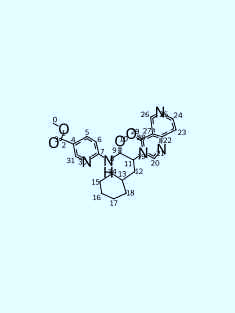 COC(=O)c1ccc(NC(=O)C(CC2CCCCC2)n2cnc3ccncc3c2=O)nc1